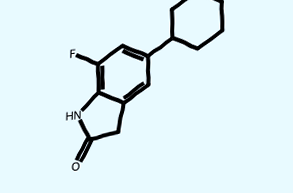 O=C1Cc2cc(C3CCCCC3)cc(F)c2N1